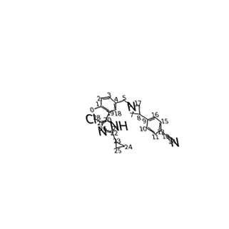 Cc1ccc(CN2CC(c3ccc(C#N)cc3)C2)cc1-c1[nH]c(C2CC2)nc1Cl